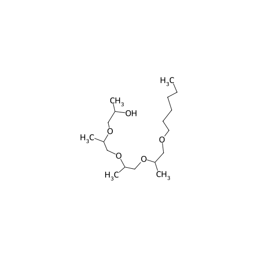 CCCCCCOCC(C)OCC(C)OCC(C)OCC(C)O